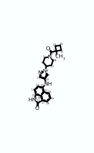 CC1(C(=O)N2CCC(n3cc(Nc4ccc5c6c(cccc46)C(=O)N5)cn3)CC2)CCC1